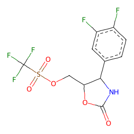 O=C1NC(c2ccc(F)c(F)c2)C(COS(=O)(=O)C(F)(F)F)O1